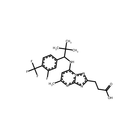 Cc1cc(NC(c2ccc(C(F)(F)F)c(F)c2)C(C)(C)C)n2nc(CCC(=O)O)nc2n1